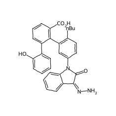 CCCCc1ccc(N2C(=O)C(=NN)c3ccccc32)cc1-c1c(C(=O)O)cccc1-c1ccccc1O